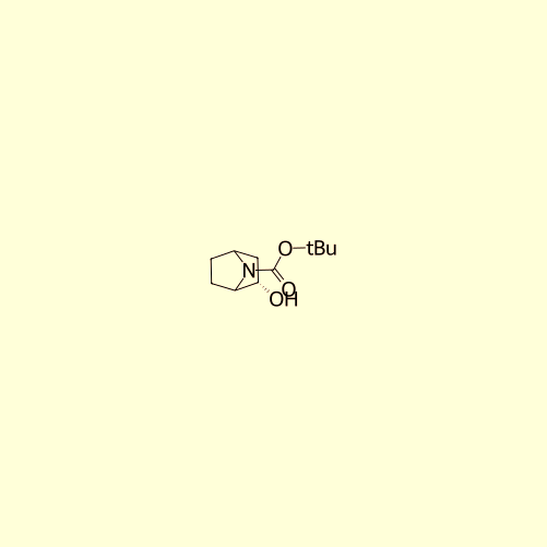 CC(C)(C)OC(=O)N1C2CCC1[C@@H](O)C2